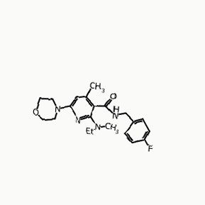 CCN(C)c1nc(N2CCOCC2)cc(C)c1C(=O)NCc1ccc(F)cc1